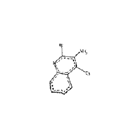 Nc1c(Br)nc2ccccc2c1Cl